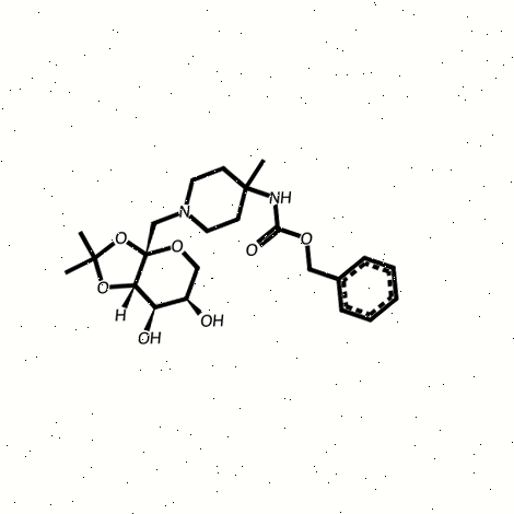 CC1(NC(=O)OCc2ccccc2)CCN(C[C@@]23OC[C@@H](O)[C@@H](O)[C@@H]2OC(C)(C)O3)CC1